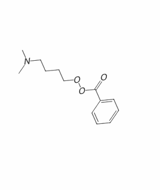 CN(C)CCCCOOC(=O)c1ccccc1